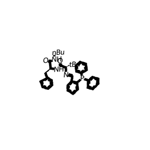 CCCCNC(=O)[C@H](Cc1ccccc1)NC(=O)[C@@H](/N=C/c1ccccc1P(c1ccccc1)c1ccccc1)C(C)(C)C